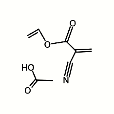 C=COC(=O)C(=C)C#N.CC(=O)O